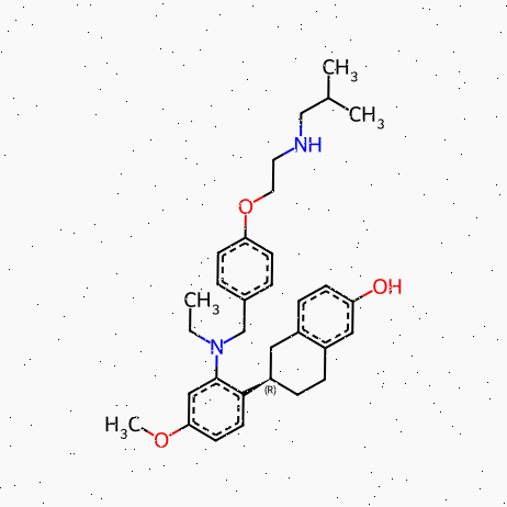 CCN(Cc1ccc(OCCNCC(C)C)cc1)c1cc(OC)ccc1[C@@H]1CCc2cc(O)ccc2C1